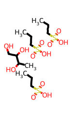 CC(O)C(O)CO.CCCS(=O)(=O)O.CCCS(=O)(=O)O.CCCS(=O)(=O)O